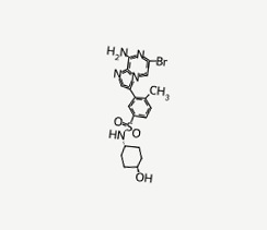 Cc1ccc(S(=O)(=O)N[C@H]2CC[C@H](O)CC2)cc1-c1cnc2c(N)nc(Br)cn12